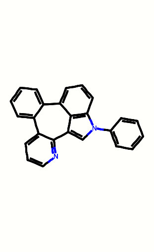 c1ccc(-n2cc3c4c(cccc42)-c2ccccc2-c2cccnc2-3)cc1